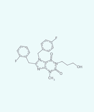 Cn1c(=O)n(CCCO)c(=O)c2c1nc(Cc1ccccc1F)n2Cc1ccc(F)cc1